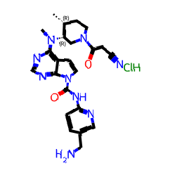 C[C@@H]1CCN(C(=O)CC#N)C[C@@H]1N(C)c1ncnc2c1ccn2C(=O)Nc1ccc(CN)cn1.Cl